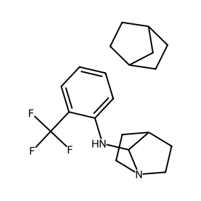 C1CC2CCC1C2.FC(F)(F)c1ccccc1NC1C2CCN1CC2